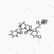 O=C(/C=C/c1cc(Cl)ccc1NC(=O)c1cccnc1Oc1ccccc1)NO